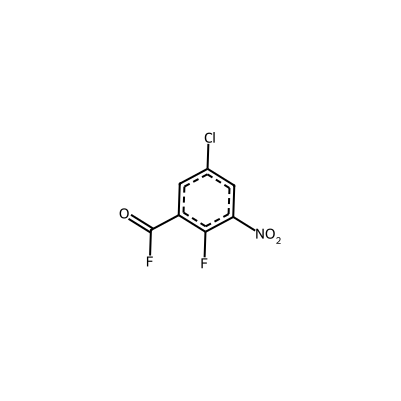 O=C(F)c1cc(Cl)cc([N+](=O)[O-])c1F